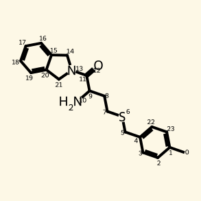 Cc1ccc(CSCCC(N)C(=O)N2Cc3ccccc3C2)cc1